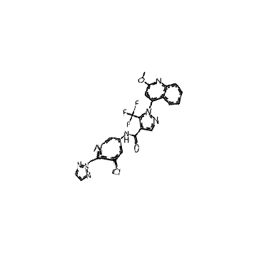 COc1cc(-n2ncc(C(=O)Nc3cnc(-n4nccn4)c(Cl)c3)c2C(F)(F)F)c2ccccc2n1